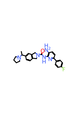 CC(c1ccc2c(c1)CN(C(=O)Nc1nc(-c3ccc(F)cc3)ccc1N)C2)N1CCCC1